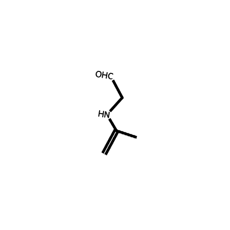 C=C(C)NCC=O